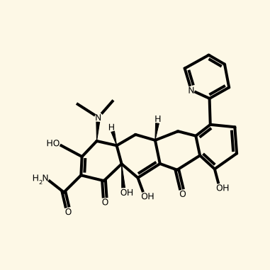 CN(C)[C@@H]1C(O)=C(C(N)=O)C(=O)[C@@]2(O)C(O)=C3C(=O)c4c(O)ccc(-c5ccccn5)c4C[C@H]3C[C@@H]12